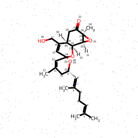 CC(C)=CCC/C(C)=C/[C@@H]1CC(C)=C[C@]2(C=C(CO)[C@H]3CC(=O)[C@@]4(C)O[C@H]4[C@H]3O2)O1